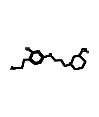 [2H]c1cc(OCCCN2CCCC(C)C2)ccc1CCC(C)=O